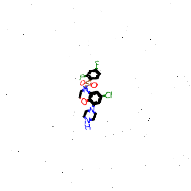 O=S(=O)(c1ccc(F)cc1F)N1CCOc2c(N3CCNCC3)cc(Cl)cc21